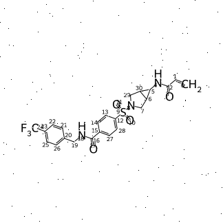 C=CC(=O)NC1C2CN(S(=O)(=O)c3ccc(C(=O)NCc4ccc(C(F)(F)F)cc4)cc3)CC21